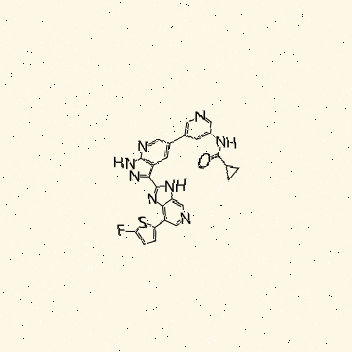 O=C(Nc1cncc(-c2cnc3[nH]nc(-c4nc5c(-c6ccc(F)s6)cncc5[nH]4)c3c2)c1)C1CC1